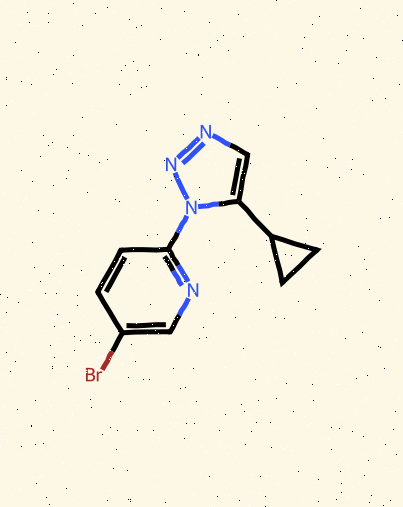 Brc1ccc(-n2nncc2C2CC2)nc1